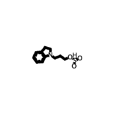 O=[SH](=O)OCCCN1CCc2ccccc21